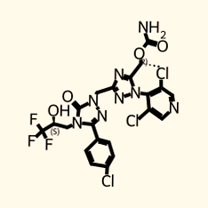 C[C@@H](OC(N)=O)c1nc(Cn2nc(-c3ccc(Cl)cc3)n(C[C@H](O)C(F)(F)F)c2=O)nn1-c1c(Cl)cncc1Cl